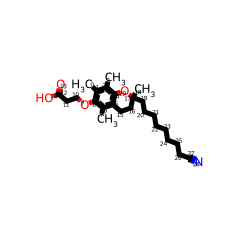 Cc1c(C)c2c(c(C)c1OCCC(=O)O)CCC(C)(CCCCCCCCC#N)O2